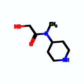 CN(C(=O)CO)C1CCNCC1